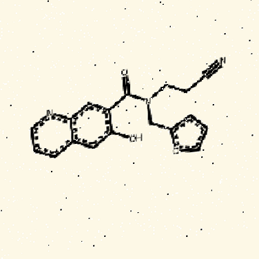 N#CCCN(Cc1ccco1)C(=O)c1cc2ncccc2cc1O